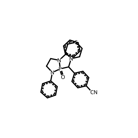 N#Cc1ccc(C(N2CCSCC2)P2(=O)N(c3ccccc3)CCN2c2ccccc2)cc1